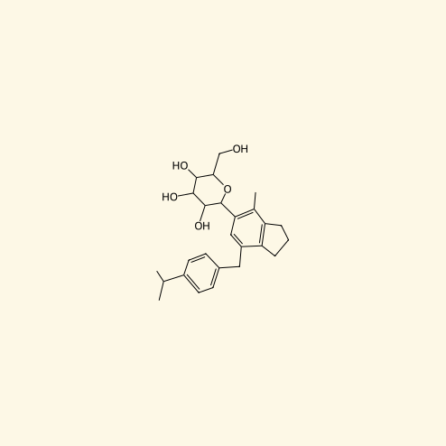 Cc1c(C2OC(CO)C(O)C(O)C2O)cc(Cc2ccc(C(C)C)cc2)c2c1CCC2